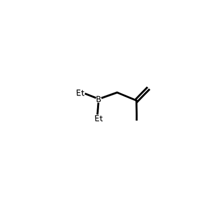 C=C(C)CB(CC)CC